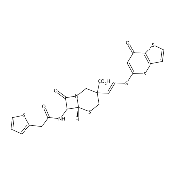 O=C(Cc1cccs1)NC1C(=O)N2CC(C=CSc3cc(=O)c4sccc4s3)(C(=O)O)CS[C@H]12